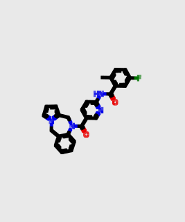 Cc1ccc(F)cc1C(=O)Nc1ccc(C(=O)N2Cc3cccn3Cc3ccccc32)cn1